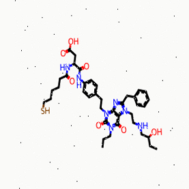 CCCn1c(=O)c2c(nc(Cc3ccccc3)n2CCNCC(O)CC)n(CCc2ccc(NC(=O)C(CC(=O)O)NC(=O)CCCCCS)cc2)c1=O